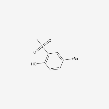 CC(C)(C)c1ccc(O)c(S(C)(=O)=O)c1